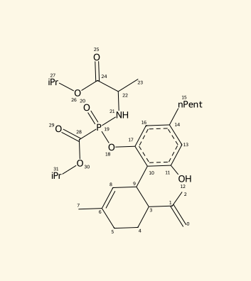 C=C(C)C1CCC(C)=CC1c1c(O)cc(CCCCC)cc1OP(=O)(NC(C)C(=O)OC(C)C)C(=O)OC(C)C